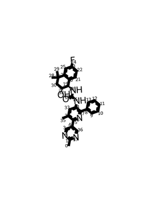 Cc1ncc(-c2nc(-c3ccccc3)c(NC(=O)N[C@@H]3c4ccc(F)cc4C(C)(C)C[C@H]3O)cc2C)cn1